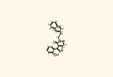 O=c1c2c(-c3ccccc3O)csc2cnn1CCc1ccc2ccccc2n1